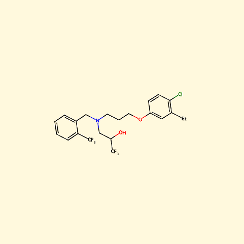 CCc1cc(OCCCN(Cc2ccccc2C(F)(F)F)CC(O)C(F)(F)F)ccc1Cl